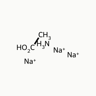 CC(=O)O.N.[Na+].[Na+].[Na+]